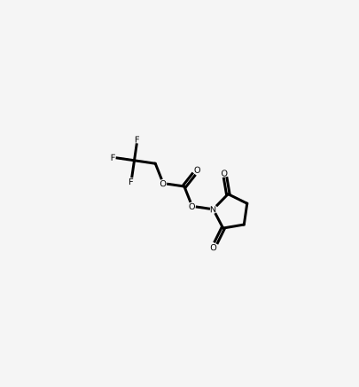 O=C(OCC(F)(F)F)ON1C(=O)CCC1=O